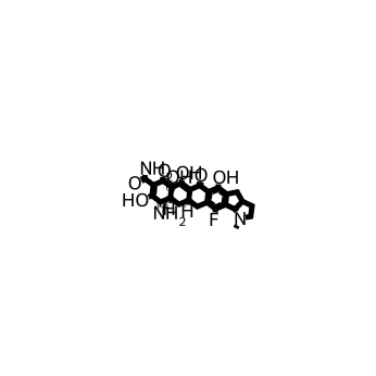 CN1CCC2Cc3c(O)c4c(c(F)c3C21)C[C@H]1C[C@H]2[C@H](N)C(O)=C(C(N)=O)C(=O)[C@@]2(O)C(O)=C1C4=O